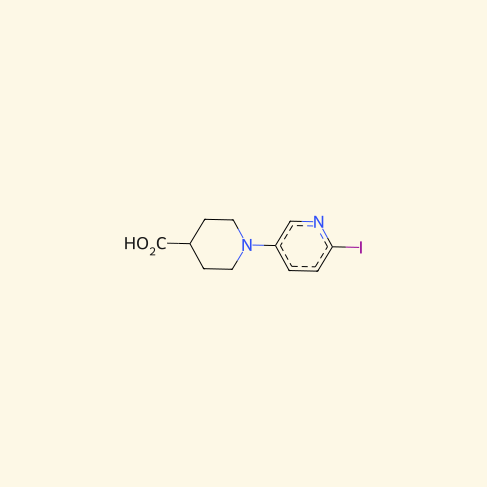 O=C(O)C1CCN(c2ccc(I)nc2)CC1